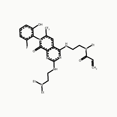 C=CC(=O)N(CC)CCNc1nc(NCCN(CC)CC)nc2c(=O)n(-c3c(O)cccc3F)c(C(F)(F)F)cc12